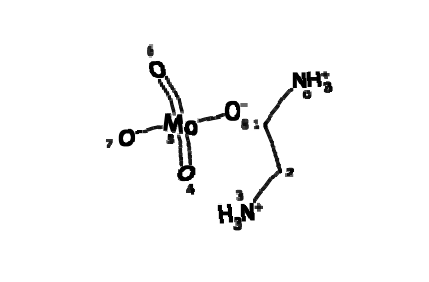 [NH3+]CC[NH3+].[O]=[Mo](=[O])([O-])[O-]